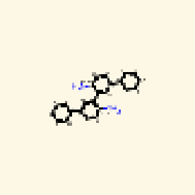 Nc1ccc(-c2ccccc2)cc1-c1cc(-c2ccccc2)ccc1N